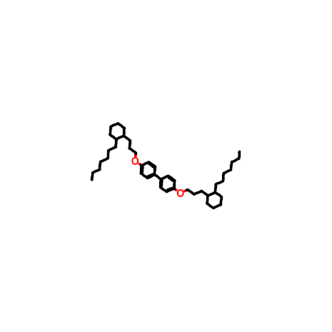 CCCCCCCC1CCCCC1CCCOc1ccc(-c2ccc(OCCCC3CCCCC3CCCCCCC)cc2)cc1